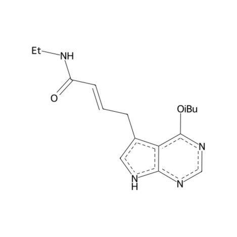 CCNC(=O)C=CCc1c[nH]c2ncnc(OCC(C)C)c12